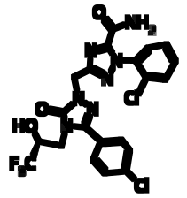 NC(=O)c1nc(Cn2nc(-c3ccc(Cl)cc3)n(C[C@H](O)C(F)(F)F)c2=O)nn1-c1ccccc1Cl